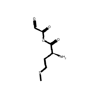 CSCC[C@H](N)C(=O)OC(=O)C=O